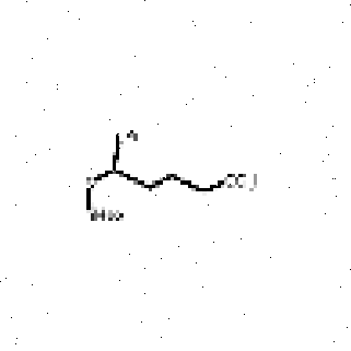 CCCCCCSC(CCC)CCCC(=O)O